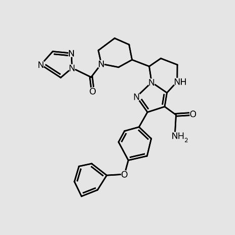 NC(=O)c1c(-c2ccc(Oc3ccccc3)cc2)nn2c1NCCC2C1CCCN(C(=O)n2cncn2)C1